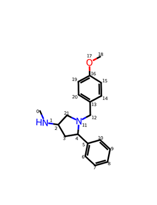 CNC1CC(c2ccccc2)N(Cc2ccc(OC)cc2)C1